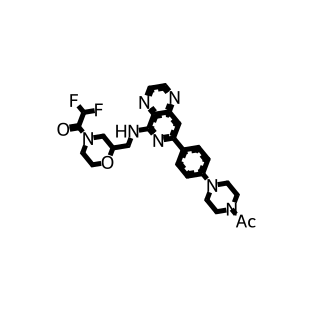 CC(=O)N1CCN(c2ccc(-c3cc4nccnc4c(NCC4CN(C(=O)C(F)F)CCO4)n3)cc2)CC1